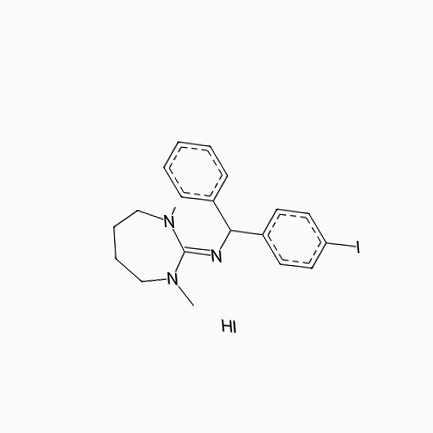 CN1CCCCN(C)C1=NC(c1ccccc1)c1ccc(I)cc1.I